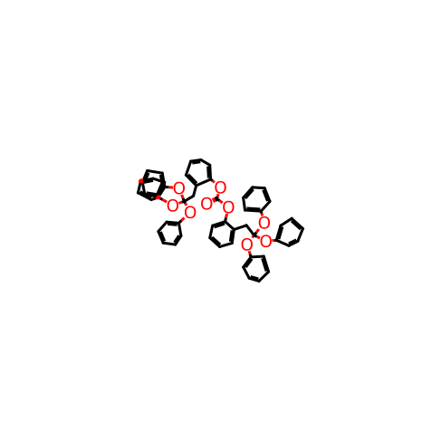 O=C(Oc1ccccc1CC(Oc1ccccc1)(Oc1ccccc1)Oc1ccccc1)Oc1ccccc1CC(Oc1ccccc1)(Oc1ccccc1)Oc1ccccc1